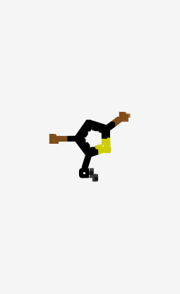 Cc1sc(Br)cc1Br